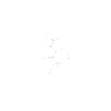 COC1(OC)CCCCC(C(=O)C(=O)O)C1=O